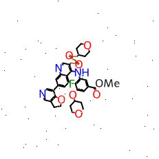 COC(=O)c1cc(Nc2c(S(=O)(=O)C3CCOCC3)cnc3cc(-c4cncc5c4OCC5)cc(F)c23)cc(OC2CCOCC2)c1